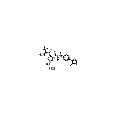 Cc1ncsc1-c1ccc([C@H](C)NC(=O)[C@@H]2C[C@H](O)CN2C(=O)[C@@H](N)C(C)(C)C)cc1.Cl